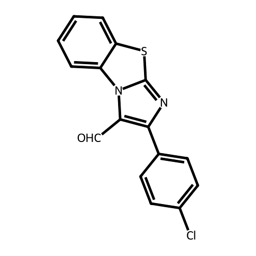 O=Cc1c(-c2ccc(Cl)cc2)nc2sc3ccccc3n12